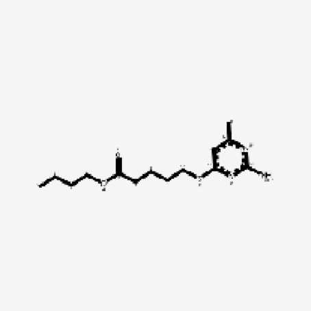 CCCCOC(=O)CCCCSc1cc(C)nc(N)n1